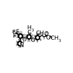 CCOC(=O)CCc1ccc(Oc2cc(C)cc(Oc3ccc(C(F)(F)F)cc3-c3cccnc3)c2)cc1C